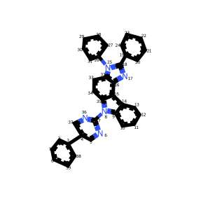 c1ccc(-c2cnc(-n3c4ccccc4c4c5nc(-c6ccccc6)n(-c6ccccc6)c5ccc43)nc2)cc1